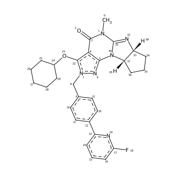 CN1C(=O)c2c(nn(Cc3ccc(-c4cccc(F)n4)cc3)c2OC2CCCCC2)N2C1=N[C@@H]1CCC[C@@H]12